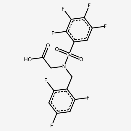 O=C(O)CN(Cc1c(F)cc(F)cc1F)S(=O)(=O)c1cc(F)c(F)c(F)c1F